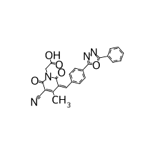 CC1=C(C#N)C(=O)N(CC(=O)O)C(=O)/C1=C\c1ccc(-c2nnc(-c3ccccc3)o2)cc1